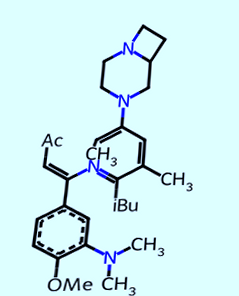 C\C=C(/C=C(C)\C(=N\C(=C/C(C)=O)c1ccc(OC)c(N(C)C)c1)C(C)CC)N1CCN2CCC2C1